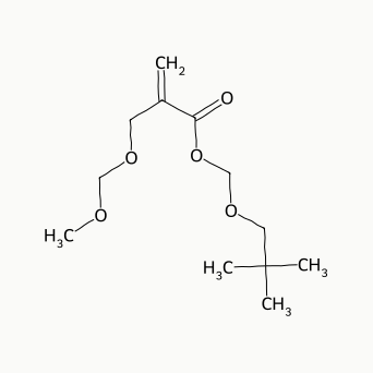 C=C(COCOC)C(=O)OCOCC(C)(C)C